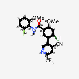 COc1cc(Cl)c(-c2cnc(C(F)(F)F)cc2C#N)cc1C(=O)N(C)c1c(F)cccc1OC